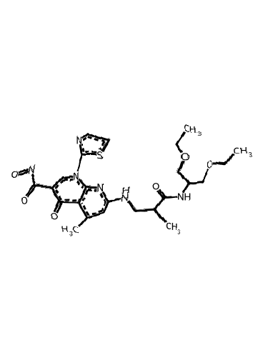 CCOCC(COCC)NC(=O)C(C)CNc1cc(C)c2c(=O)c(C(=O)N=O)cn(-c3nccs3)c2n1